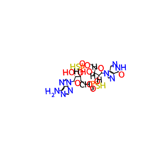 C[C@@]12COP(=O)(S)O[C@@H]3[C@H](O)[C@@H](COP(=O)(S)O[C@H]1[C@@H](O)[C@H](n1cnc4c(N)ncnc41)O2)O[C@H]3n1cnc2c(=O)[nH]ncc21